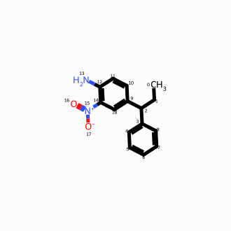 CCC(c1ccccc1)c1ccc(N)c([N+](=O)[O-])c1